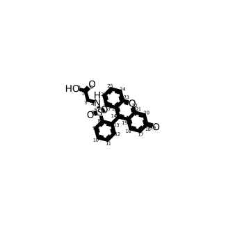 O=C(O)CNS(=O)(=O)c1ccccc1-c1c2ccc(=O)cc-2oc2ccccc12